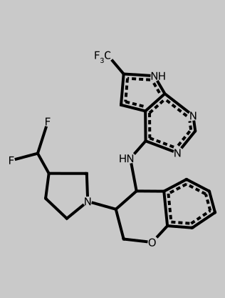 FC(F)C1CCN(C2COc3ccccc3C2Nc2ncnc3[nH]c(C(F)(F)F)cc23)C1